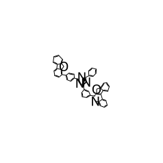 c1ccc(-c2nc(-c3ccc(-c4cccc5c4oc4ccccc45)cc3)nc(-c3cccc(-c4nc5ccccc5c5c4oc4ccccc45)c3)n2)cc1